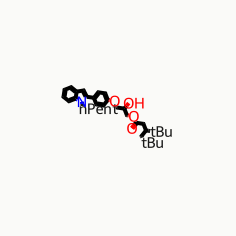 CCCCCn1c(-c2ccc(OCC(O)COC(=O)CC(CC(C)(C)C)C(C)(C)C)cc2)cc2ccccc21